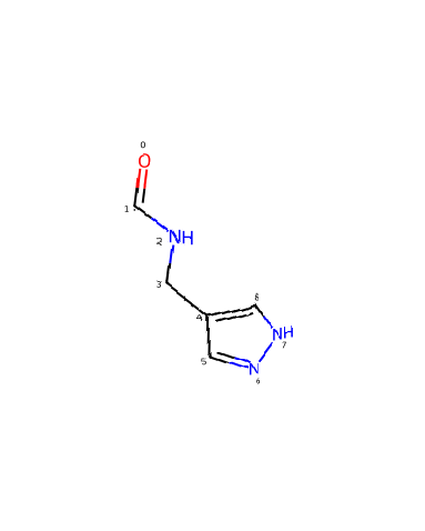 O=[C]NCc1cn[nH]c1